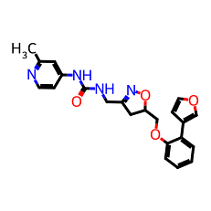 Cc1cc(NC(=O)NCC2=NOC(COc3ccccc3-c3ccoc3)C2)ccn1